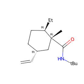 C=C[C@@H]1CC[C@@H](CC)[C@](C)(C(=O)NC(C)(C)C)C1